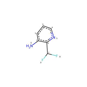 Nc1cccnc1C(F)F